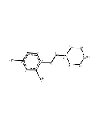 CC(C)c1cc(F)ccc1CCN1CCOCC1